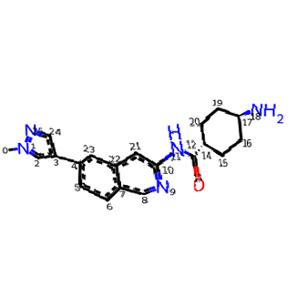 Cn1cc(-c2ccc3cnc(NC(=O)[C@H]4CC[C@H](N)CC4)cc3c2)cn1